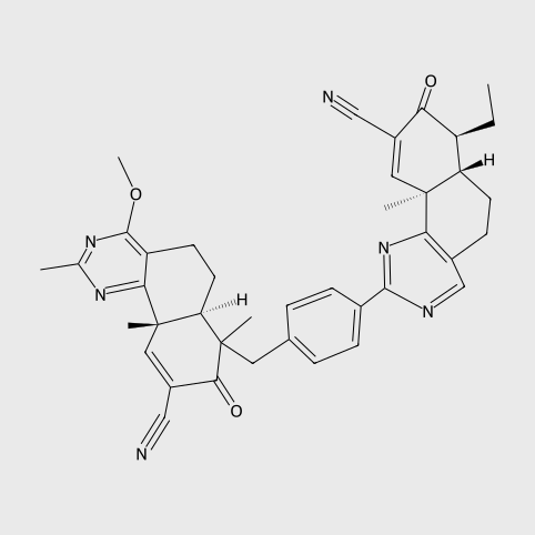 CC[C@@H]1C(=O)C(C#N)=C[C@]2(C)c3nc(-c4ccc(CC5(C)C(=O)C(C#N)=C[C@]6(C)c7nc(C)nc(OC)c7CC[C@@H]56)cc4)ncc3CC[C@@H]12